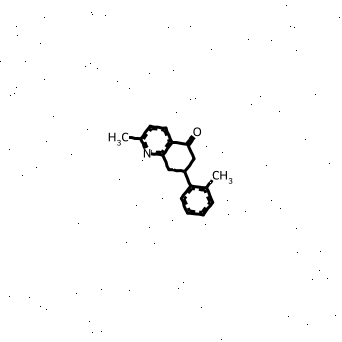 Cc1ccc2c(n1)CC(c1ccccc1C)CC2=O